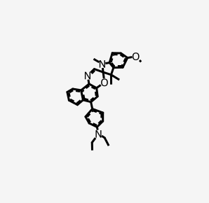 CCN(CC)c1ccc(-c2cc3c(c4ccccc24)N=CC2(O3)N(C)c3ccc(OC)cc3C2(C)C)cc1